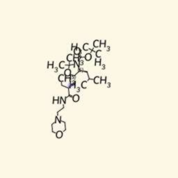 CC/C(=C\[C@@H]1OC(C)(C)N(C(=O)OC(C)(C)C)[C@H]1CC(C)C)C(=O)NCCN1CCOCC1